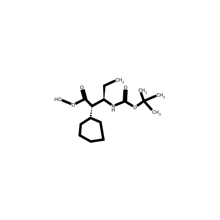 CC[C@@H](NC(=O)OC(C)(C)C)[C@@H](C(=O)OO)C1CCCCC1